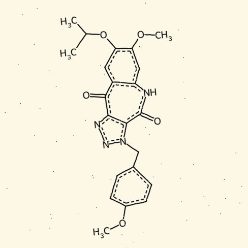 COc1ccc(Cn2nnc3c(=O)c4cc(OC(C)C)c(OC)cc4[nH]c(=O)c32)cc1